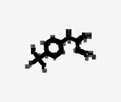 C=NC(=N)Nc1ccc(C(F)(F)F)cc1